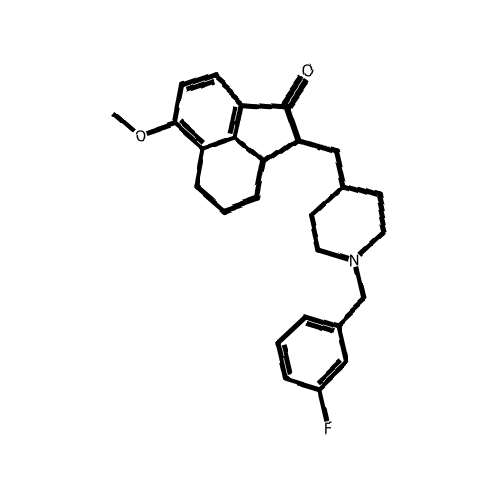 COc1ccc2c3c1CCCC3C(CC1CCN(Cc3cccc(F)c3)CC1)C2=O